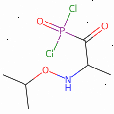 CC(C)ONC(C)C(=O)P(=O)(Cl)Cl